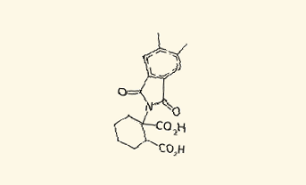 Cc1cc2c(cc1C)C(=O)N(C1(C(=O)O)CCCCC1C(=O)O)C2=O